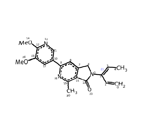 C=C/C(=C\C)N1Cc2cc(-c3cnc(OC)c(OC)c3)nc(C)c2C1=O